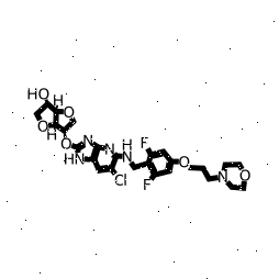 O[C@@H]1CO[C@H]2[C@@H]1OC[C@H]2Oc1nc2nc(NCc3c(F)cc(OCCCN4CCOCC4)cc3F)c(Cl)cc2[nH]1